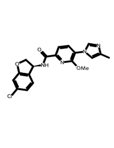 COc1nc(C(=O)N[C@@H]2COc3cc(Cl)ccc32)ccc1-n1cnc(C)c1